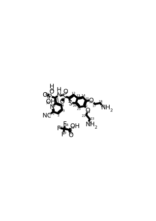 N#Cc1cccc(C(NS(=O)(=O)c2cc3cc(OCCN)c(OCCN)cc3s2)P(=O)(O)O)n1.O=C(O)C(F)(F)F